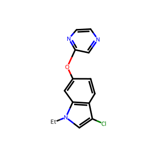 CCn1cc(Cl)c2ccc(Oc3cnccn3)cc21